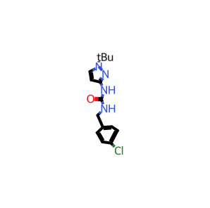 CC(C)(C)n1ccc(NC(=O)NCc2ccc(Cl)cc2)n1